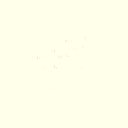 CC(C)(C)OC(=O)N1C[C@@H](N(C(=O)C(C)(C)C)C2CCC(F)(F)CC2)C[C@H]1C(=O)O